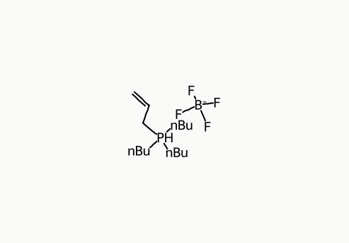 C=CC[PH](CCCC)(CCCC)CCCC.F[B-](F)(F)F